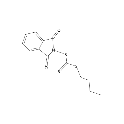 CCCCSC(=S)SN1C(=O)c2ccccc2C1=O